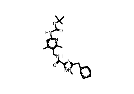 Cc1cc(NC(=O)OC(C)(C)C)nc(C)c1CNC(=O)c1nc(Cc2ccccc2)n(C)n1